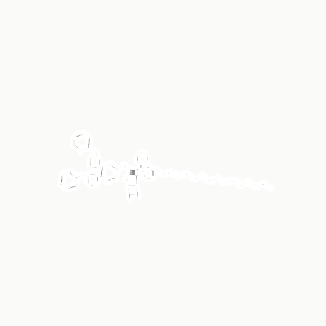 CCCCCCCCCCCCCCCCOC(=O)[C@H](O)Cc1ccc(OCc2ccccc2)c(OCc2ccccc2)c1